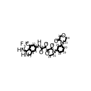 N=C1NCc2cc(NC(=O)C(=O)[C@H]3OCCN(c4cccc(N5CCOCC5=O)c4)C3=O)cc(C(F)(F)F)c21